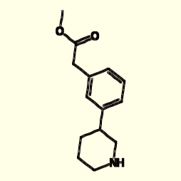 COC(=O)Cc1cccc(C2CCCNC2)c1